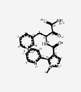 Cn1ncc(C(=O)NC(Cc2cccnc2)C(=O)C(N)=O)c1-c1ccccn1